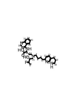 O=C(O)[C@H](CCN(CCCCc1ccc2c(n1)NCCC2)CC(O)C(F)F)Nc1ncnc2ccccc12